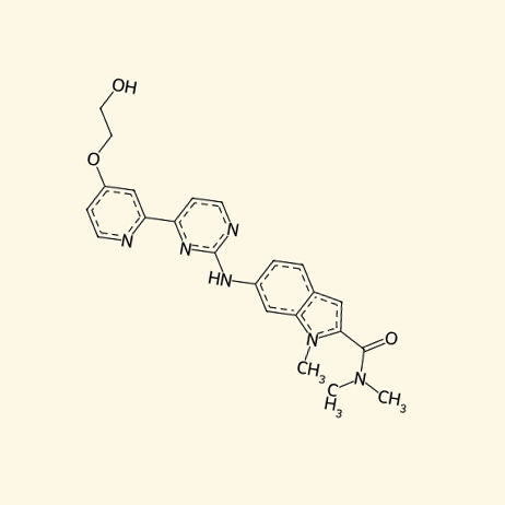 CN(C)C(=O)c1cc2ccc(Nc3nccc(-c4cc(OCCO)ccn4)n3)cc2n1C